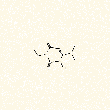 CCn1c(=O)cc(N(C)C)n(O)c1=O